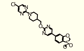 O=S1(=O)COc2cc(-c3cnc(OCC4CCN(c5ncc(Cl)cn5)CC4)nc3)ccc21